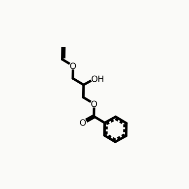 C=COCC(O)COC(=O)c1ccccc1